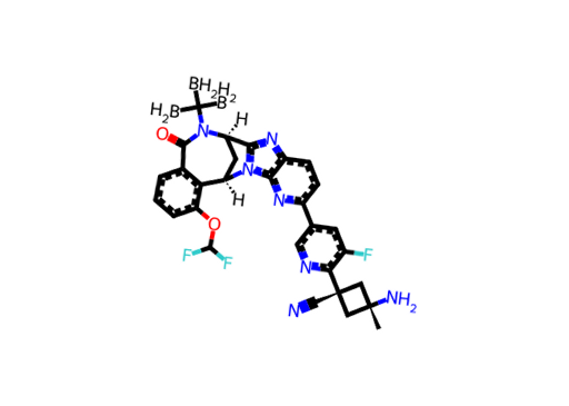 BC(B)(B)N1C(=O)c2cccc(OC(F)F)c2[C@H]2C[C@@H]1c1nc3ccc(-c4cnc([C@]5(C#N)C[C@](C)(N)C5)c(F)c4)nc3n12